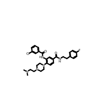 CN(C)CCN1CCN(c2ccc(C(=O)NCCc3ccc(F)cc3)cc2NC(=O)c2cccc(Cl)c2)CC1